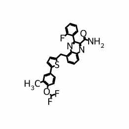 Cc1cc(-c2ccc(Cc3cccc4nc(C(N)=O)c(-c5ccccc5F)nc34)s2)ccc1OC(F)F